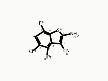 CC(C)c1c(Cl)cc(F)c2sc(N)c(C#N)c12